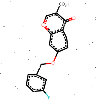 O=C(O)c1coc2cc(OCc3cccc(F)c3)ccc2c1=O